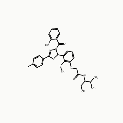 COc1c(OCC(=O)NC(CO)C(C)C)cccc1C1SC(c2ccc(F)cc2)=NN1C(=O)c1ccccc1O